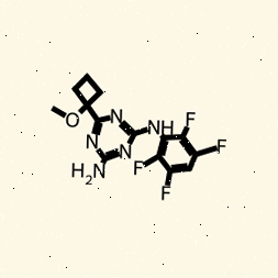 COC1(c2nc(N)nc(Nc3c(F)c(F)cc(F)c3F)n2)CCC1